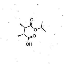 CC(C)OC(=O)[C@H](C)[C@H](C)C(=O)O